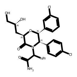 CCCC(C(N)=O)N1C(=O)[C@@H](C[C@@H](O)CO)O[C@H](c2cccc(Cl)c2)[C@@H]1c1ccc(Cl)cc1